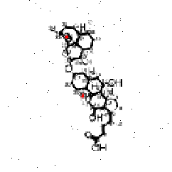 C[C@H](CCC(=O)O)[C@H]1CC[C@H]2[C@@H]3[C@H](O)C[C@@H]4C[C@H](O[C@H]5OC6O[C@@]7(C)CC[C@H]8[C@H](C)CCC([C@H]5C)[C@@]68OO7)CC[C@]4(C)[C@H]3C[C@H](O)[C@]12C